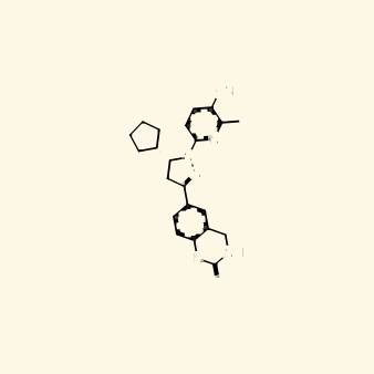 Cc1nc(N2N=C(c3ccc4c(c3)CNC(=O)N4)C[C@@H]2C2CCCC2)ccc1C#N